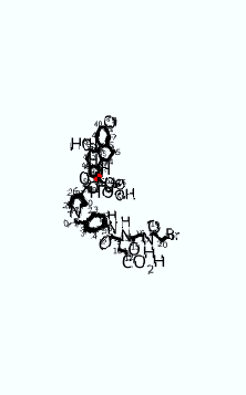 C[C@@H](c1ccc(NC(=O)[C@H](CCC(=O)O)NC(=O)CNC(=O)CBr)cc1)n1ccc([C@@H]2O[C@@H]3C[C@H]4[C@@H]5CCC6=CC(=O)C=C[C@]6(C)[C@H]5[C@@H](O)C[C@]4(C)[C@]3(C(=O)COP(=O)(O)O)O2)c1